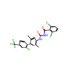 Cc1cc(-c2ccc(C(F)(F)F)cc2Cl)c(C)cc1NC(=O)NC(=O)c1c(F)cccc1F